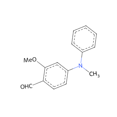 COc1cc(N(C)c2ccccc2)ccc1C=O